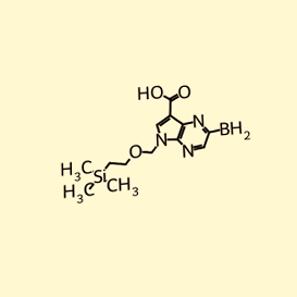 Bc1cnc2c(n1)c(C(=O)O)cn2COCC[Si](C)(C)C